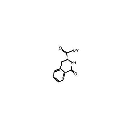 CC(C)C(=O)[C@@H]1Cc2ccccc2C(=O)N1